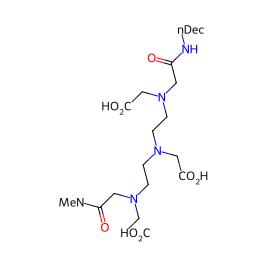 CCCCCCCCCCNC(=O)CN(CCN(CCN(CC(=O)O)CC(=O)NC)CC(=O)O)CC(=O)O